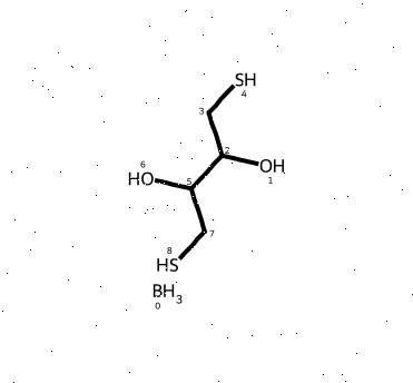 B.OC(CS)C(O)CS